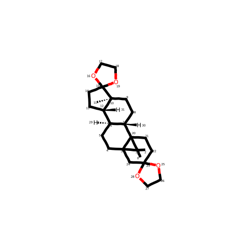 CC1(C)C23CC[C@@H]4[C@H](CC[C@@]5(C)[C@H]4CCC54OCCO4)C12CCC1(C3)OCCO1